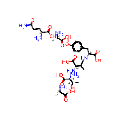 CC(C)[C@H](N)C(=O)O.C[C@@H](O)[C@H](N)C(=O)O.C[C@H](N)C(=O)O.C[C@H](N)C(=O)O.NC(=O)CC[C@H](N)C(=O)O.N[C@@H](Cc1ccc(O)cc1)C(=O)O